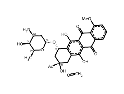 C=O.COc1cccc2c1C(=O)c1c(O)c3c(c(O)c1C2=O)C[C@@](O)(C(C)=O)C[C@@H]3O[C@H]1C[C@H](N)[C@H](O)[C@H](C)O1